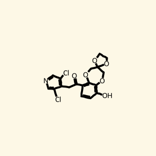 O=C(Cc1c(Cl)cncc1Cl)c1ccc(O)c2c1OCC1(CO2)OCCO1